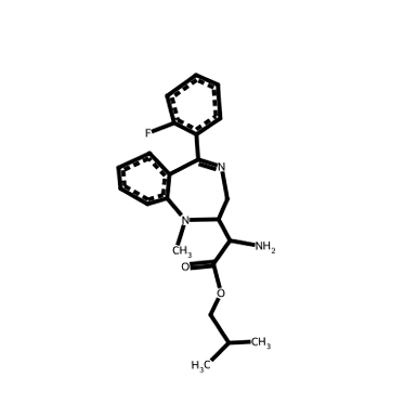 CC(C)COC(=O)C(N)C1CN=C(c2ccccc2F)c2ccccc2N1C